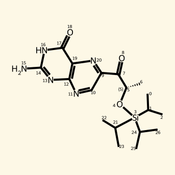 CC(C)[Si](O[C@@H](C)C(=O)c1cnc2nc(N)[nH]c(=O)c2n1)(C(C)C)C(C)C